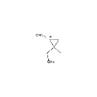 CC(=O)OCC1(C)C[C@H]1C=O